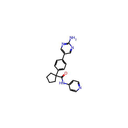 Nc1ncc(-c2ccc(C3(C(=O)Nc4ccncc4)CCCC3)cc2)cn1